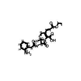 CCOC(=O)C=CC1=C(C(=O)O)N2C(=O)[C@@H](NC(=O)Cc3ccccc3N)[C@@H]2SC1